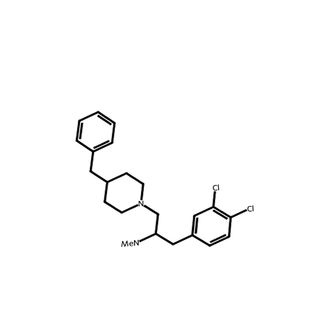 CNC(Cc1ccc(Cl)c(Cl)c1)CN1CCC(Cc2ccccc2)CC1